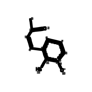 CC(=O)/C=C\c1ccc[n+]([O-])c1S